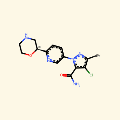 CC(C)c1nn(-c2ccc([C@@H]3CNCCO3)nc2)c(C(N)=O)c1Cl